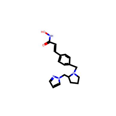 O=C(C=Cc1ccc(CN2CCCC2Cn2cccn2)cc1)NO